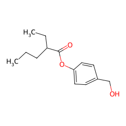 CCCC(CC)C(=O)Oc1ccc(CO)cc1